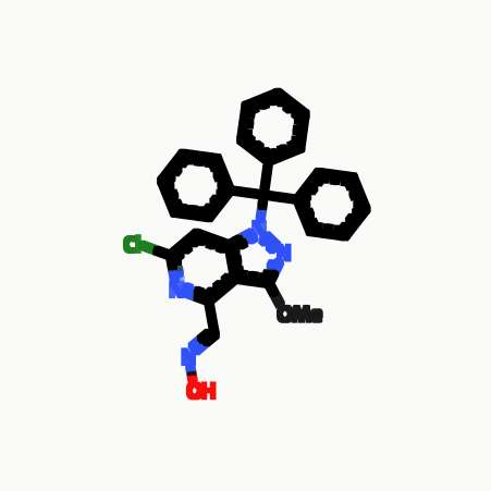 COc1nn(C(c2ccccc2)(c2ccccc2)c2ccccc2)c2cc(Cl)nc(C=NO)c12